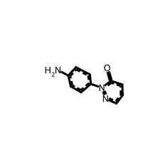 Nc1ccc(-n2ncccc2=O)cc1